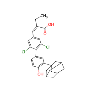 CCC(=Cc1cc(Cl)c(-c2ccc(O)c(C34CC5CC(CC(C5)C3)C4)c2)c(Cl)c1)C(=O)O